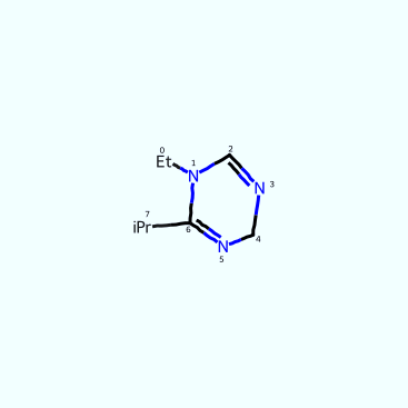 CCN1C=NCN=C1C(C)C